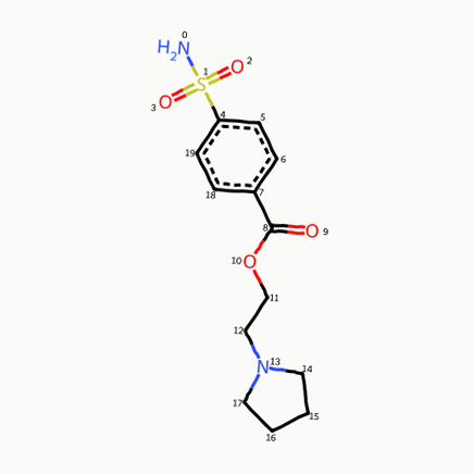 NS(=O)(=O)c1ccc(C(=O)OCCN2CCCC2)cc1